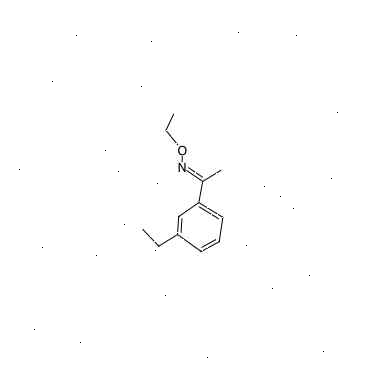 CCON=C(C)c1cccc(CC)c1